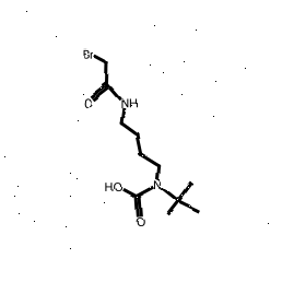 CC(C)(C)N(CCCCNC(=O)CBr)C(=O)O